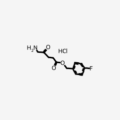 Cl.NCC(=O)CCC(=O)OCc1ccc(F)cc1